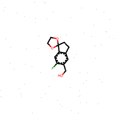 OCc1cc2c(cc1F)C1(CC2)OCCO1